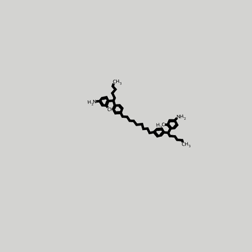 CCCCCC(c1ccc(CCCCCCCCCc2ccc(C(CCCCC)c3ccc(N)cc3C)cc2)cc1)c1ccc(N)cc1C